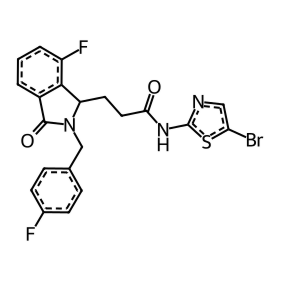 O=C(CCC1c2c(F)cccc2C(=O)N1Cc1ccc(F)cc1)Nc1ncc(Br)s1